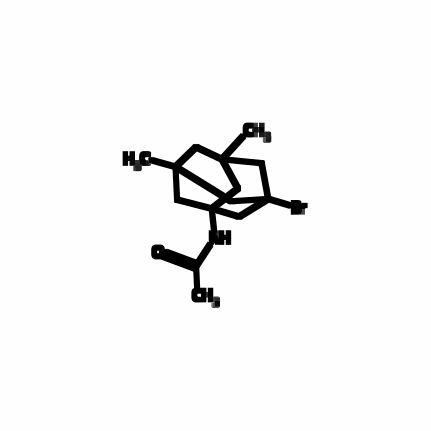 CC(=O)NC12CC3(C)CC(C)(CC(Br)(C3)C1)C2